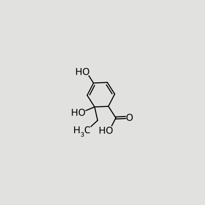 CCC1(O)C=C(O)C=CC1C(=O)O